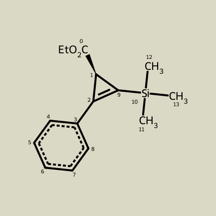 CCOC(=O)[C@@H]1C(c2ccccc2)=C1[Si](C)(C)C